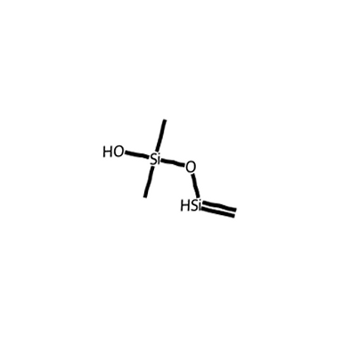 C=[SiH]O[Si](C)(C)O